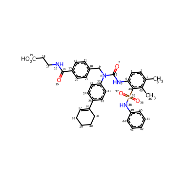 Cc1ccc(NC(=O)N(Cc2ccc(C(=O)NCCC(=O)O)cc2)c2ccc(C3=CCCCC3)cc2)c(S(=O)(=O)Nc2ccccc2)c1C